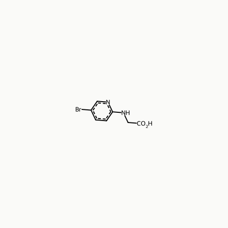 O=C(O)CNc1ccc(Br)cn1